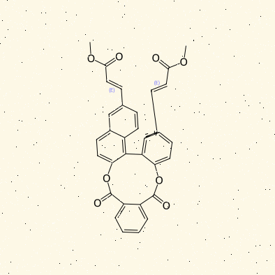 COC(=O)/C=C/c1ccc2c(ccc3oc(=O)c4ccccc4c(=O)oc4ccc5cc(/C=C/C(=O)OC)ccc5c4c32)c1